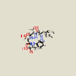 CC(C)C[C@H](N)C(=O)N[C@@H](CO)C(=O)N[C@@H](CO)C(=O)N[C@@H](Cc1ccccc1)C(=O)O